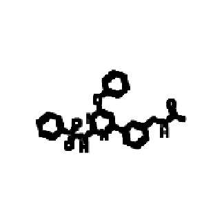 CC(=O)NCc1cccc(-c2cc(Oc3ccccc3)nc(NS(=O)(=O)c3ccccc3)n2)c1